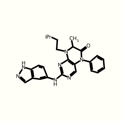 CC(C)CCN1c2nc(Nc3ccc4[nH]ncc4c3)ncc2N(c2ccccc2)C(=O)C1C